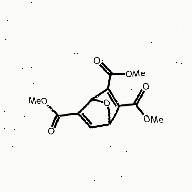 COC(=O)C1=CC2OC1C(C(=O)OC)=C2C(=O)OC